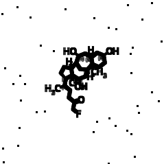 C[C@H](CCC(=O)CF)[C@H]1CC[C@H]2C3C[C@H](C[C@H](O)[C@]12C)[C@@]1(C)CC[C@@H](O)C[C@H]1C[C@H]3O